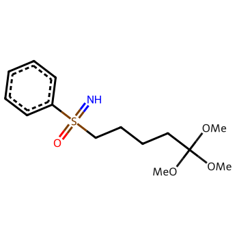 COC(CCCCS(=N)(=O)c1ccccc1)(OC)OC